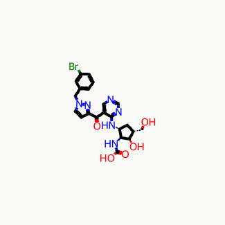 O=C(O)N[C@@H]1[C@H](O)[C@@H](CO)C[C@H]1Nc1ncncc1C(=O)c1ccn(Cc2cccc(Br)c2)n1